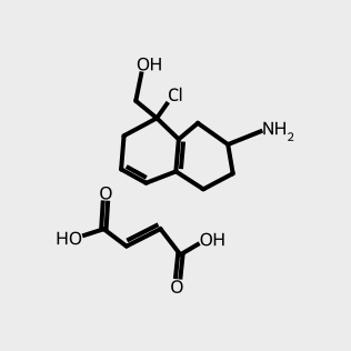 NC1CCC2=C(C1)C(Cl)(CO)CC=C2.O=C(O)C=CC(=O)O